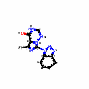 CCc1nc(-n2nnc3ccccc32)n2nc[nH]c(=O)c12